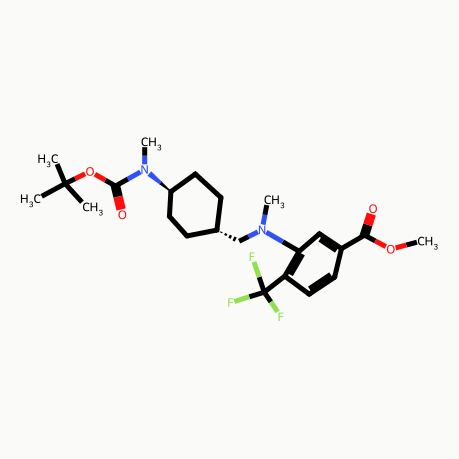 COC(=O)c1ccc(C(F)(F)F)c(N(C)C[C@H]2CC[C@H](N(C)C(=O)OC(C)(C)C)CC2)c1